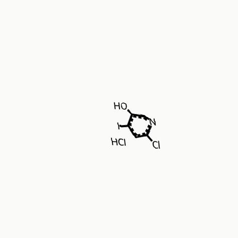 Cl.Oc1cnc(Cl)cc1I